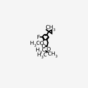 CCC1(c2cc(F)c(OC)c(CC(=O)OC(C)(C)C)c2)CC1